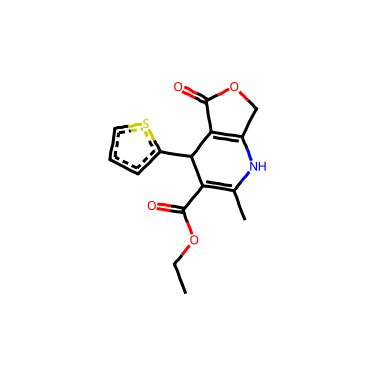 CCOC(=O)C1=C(C)NC2=C(C(=O)OC2)C1c1cccs1